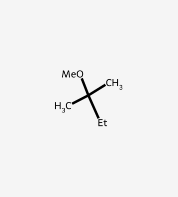 [CH2]CC(C)(C)OC